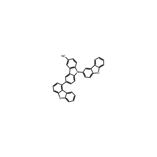 N#Cc1ccc2c(c1)c1cc(-c3cccc4sc5ccccc5c34)ccc1n2-c1ccc2oc3ccccc3c2c1